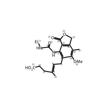 CCNC(=O)Nc1c(C/C=C(\C)CCC(=O)O)c(OC)c(C)c2c1C(=O)OC2